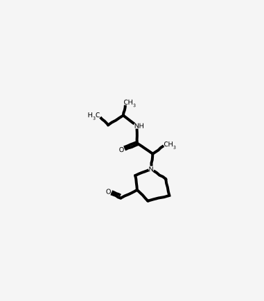 CCC(C)NC(=O)C(C)N1CCCC(C=O)C1